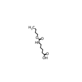 CCCCOC(=O)NCCCCC(=O)O